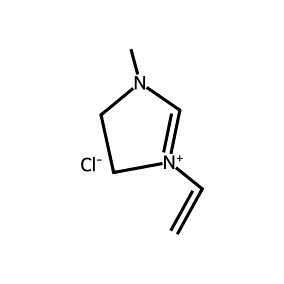 C=C[N+]1=CN(C)CC1.[Cl-]